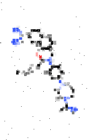 CC(=N)N1CCCN(c2ccc(N(Cc3ccc4ccc(C(=N)N)cc4c3)C(=O)CCC(=O)O)cc2)CC1